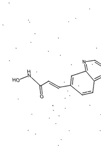 O=C(C=Cc1ccc2cccnc2c1)NO